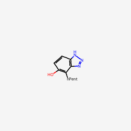 CCCCCc1c(O)ccc2[nH]nnc12